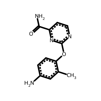 Cc1cc(N)ccc1Oc1nccc(C(N)=O)n1